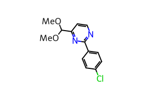 COC(OC)c1ccnc(-c2ccc(Cl)cc2)n1